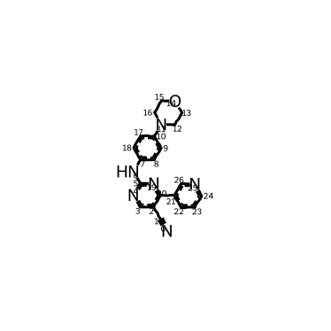 N#Cc1cnc(Nc2ccc(N3CCOCC3)cc2)nc1-c1cccnc1